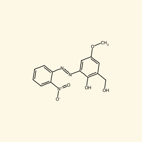 COc1cc(CO)c(O)c(N=Nc2ccccc2[N+](=O)[O-])c1